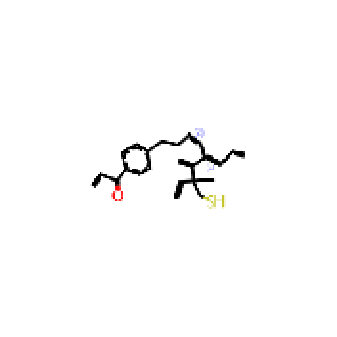 C=C/C=C(\C=C/CCc1ccc(C(=O)C=C)cc1)C(=C)C(C)(C=C)CS